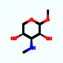 CN[C@H]1[C@H](O)COC(OC)[C@@H]1O